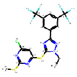 CCn1nc(-c2cc(C(F)(F)F)cc(C(F)(F)F)c2)nc1Sc1cc(Cl)nc(SC)n1